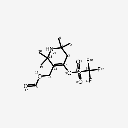 CC1(C)CC(OS(=O)(=O)C(F)(F)F)=C(COC=O)C(C)(C)N1